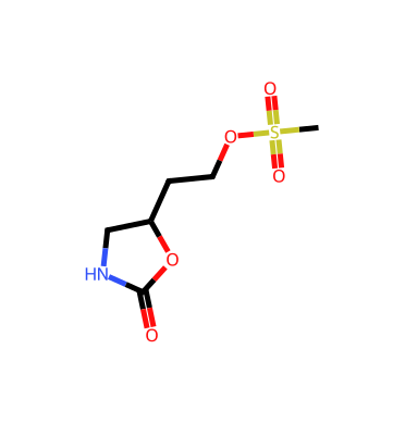 CS(=O)(=O)OCCC1CNC(=O)O1